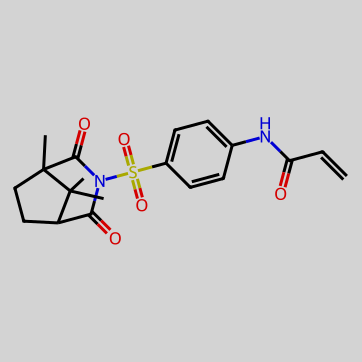 C=CC(=O)Nc1ccc(S(=O)(=O)N2C(=O)C3CCC(C)(C2=O)C3(C)C)cc1